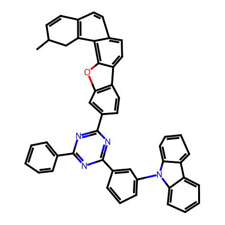 CC1C=Cc2ccc3ccc4c5ccc(-c6nc(-c7ccccc7)nc(-c7cccc(-n8c9ccccc9c9ccccc98)c7)n6)cc5oc4c3c2C1